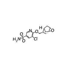 NS(=O)(=O)c1cnc(OC[C@@H]2C[C@]34C[C@@H]2CC3O4)c(Cl)c1